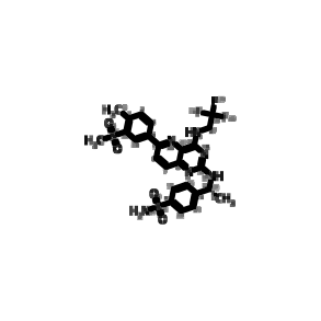 Cc1ccc(-c2ccc3nc(N[C@H](C)c4ccc(S(N)(=O)=O)cc4)nc(NCC(F)(F)F)c3n2)cc1S(C)(=O)=O